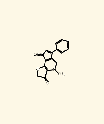 CN1CC2=C(C(=O)C=C2c2ccccc2)C2=C1C(=O)CO2